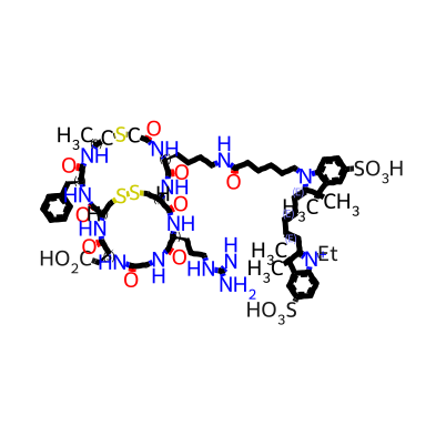 CC[N+]1=C(/C=C/C=C/C=C2/N(CCCCCC(=O)NCCCC[C@@H]3NC(=O)CSC[C@@H](C)NC(=O)[C@H](Cc4ccccc4)NC(=O)[C@@H]4CSSC[C@H](NC3=O)C(=O)N[C@@H](CCCNC(=N)N)C(=O)NCC(=O)N[C@@H](CC(=O)O)C(=O)N4)c3ccc(S(=O)(=O)O)cc3C2(C)C)C(C)(C)c2cc(S(=O)(=O)O)ccc21